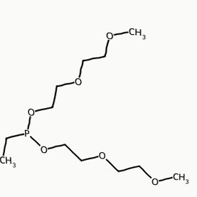 CCP(OCCOCCOC)OCCOCCOC